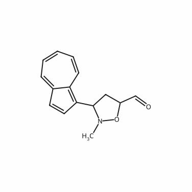 CN1OC(C=O)CC1c1ccc2cccccc1-2